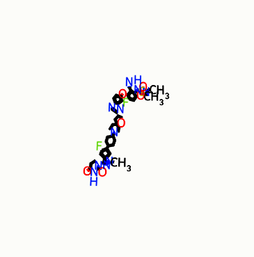 CCN(C)S(=O)(=O)Nc1ccc(F)c(Oc2ccc3ncc([C@@H]4COC5(CCN(C6CCC(c7cc8c(cc7F)c(N7CCC(=O)NC7=O)nn8C)CC6)CC5)C4)nc3c2)c1C#N